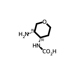 N[C@@H]1COCC[C@@H]1NC(=O)O